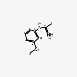 CSc1cccc(NC(C)=N)c1